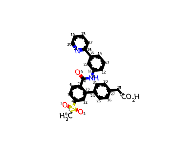 CS(=O)(=O)c1ccc(C(=O)Nc2cccc(-c3ccccn3)c2)c(-c2ccc(CC(=O)O)cc2)c1